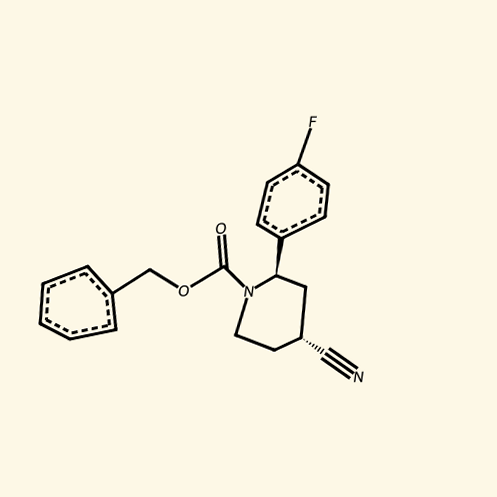 N#C[C@@H]1CCN(C(=O)OCc2ccccc2)[C@@H](c2ccc(F)cc2)C1